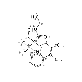 CCCC(c1ccccc1OC)C(CC)(C(=O)OCC)C(C)(C)C